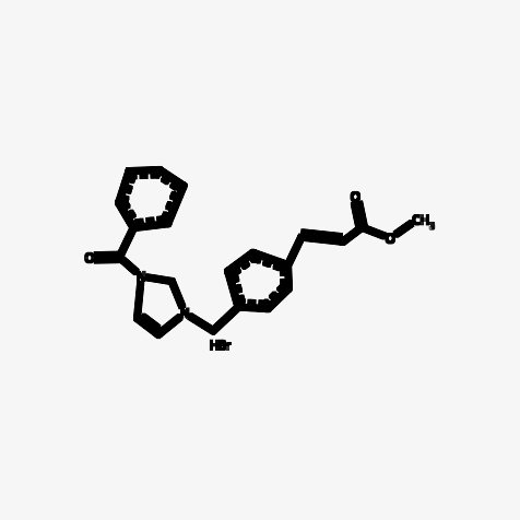 Br.COC(=O)C=Cc1ccc(CN2C=CN(C(=O)c3ccccc3)C2)cc1